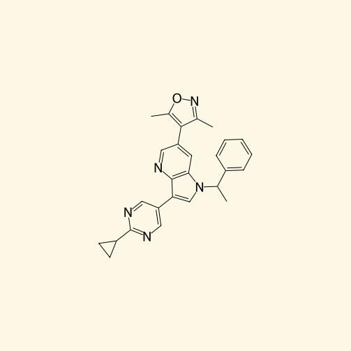 Cc1noc(C)c1-c1cnc2c(-c3cnc(C4CC4)nc3)cn(C(C)c3ccccc3)c2c1